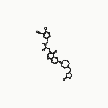 CN(Cc1ccc(Cl)c(C#N)c1)C(=O)Cn1cnc2ccc(N3CCCN(CC4CCC(=O)C4)CC3)cc2c1=O